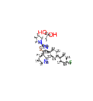 OC(O)CC1CCCN1c1nc(-c2ccc(-c3ccc(F)cc3)cc2)c(-c2cccnc2)s1